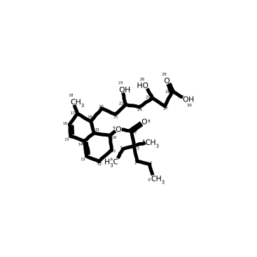 CCCC(C)(CC)C(=O)OC1CCC=C2C=CC(C)C(CCC(O)CC(O)CC(=O)O)C21